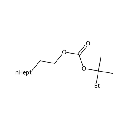 CCCCCCCCCOC(=O)OC(C)(C)CC